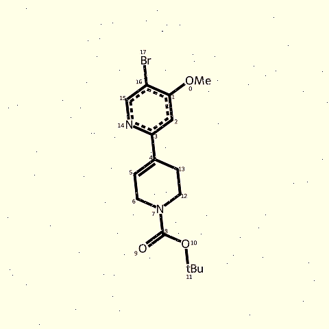 COc1cc(C2=CCN(C(=O)OC(C)(C)C)CC2)ncc1Br